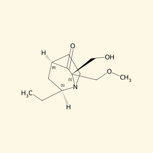 CC[C@H]1C[C@H]2CCN1[C@@](CO)(COC)C2=O